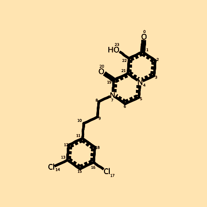 O=c1ccn2ccn(CCCc3cc(Cl)cc(Cl)c3)c(=O)c2c1O